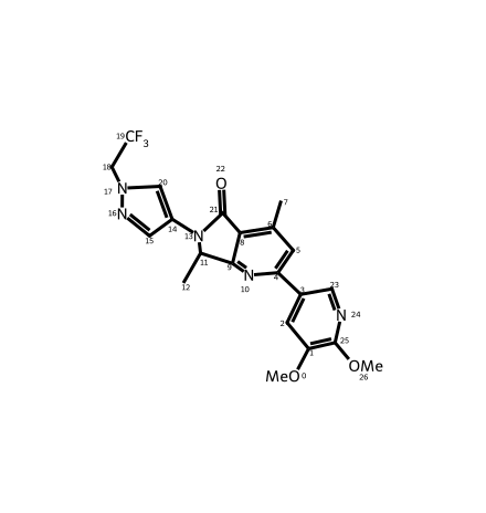 COc1cc(-c2cc(C)c3c(n2)C(C)N(c2cnn(CC(F)(F)F)c2)C3=O)cnc1OC